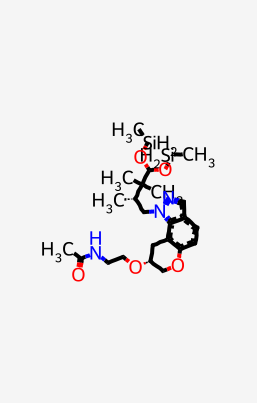 C[SiH2]OC(O[SiH2]C)C(C)(C)[C@@H](C)Cn1ncc2ccc3c(c21)C[C@@H](OCCNC(C)=O)CO3